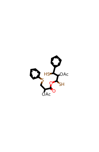 CC(=O)OC(CSc1ccccc1)C(=O)OC(S)C(OC(C)=O)C(S)c1ccccc1